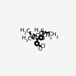 C=CCN1C[C@H](C)N([C@@H](c2cccc(O[Si](C)(C)CCCC)c2)c2cccc(C(=O)Cl)c2)C[C@H]1C